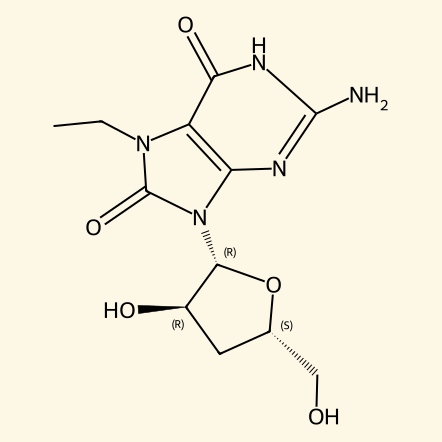 CCn1c(=O)n([C@@H]2O[C@H](CO)C[C@H]2O)c2nc(N)[nH]c(=O)c21